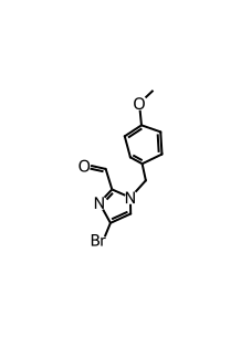 COc1ccc(Cn2cc(Br)nc2C=O)cc1